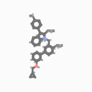 CCOC(=O)c1c(-c2ccc(C(C)(C)C)cc2)c2ccccc2n1Cc1cc(-c2cccc(OCC3CC3)c2)ccc1C(=O)O